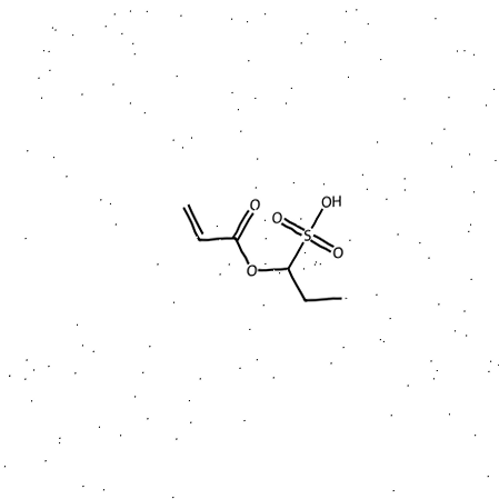 [CH2]CC(OC(=O)C=C)S(=O)(=O)O